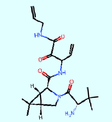 C=CCNC(=O)C(=O)C(C=C)NC(=O)[C@@H]1[C@@H]2[C@H](CN1C(=O)[C@@H](N)C(C)(C)C)C2(C)C